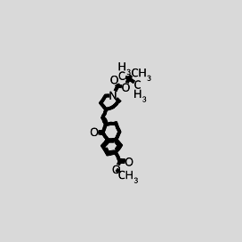 COC(=O)c1ccc2c(c1)CCC(=CC1CCN(C(=O)OC(C)(C)C)CC1)C2=O